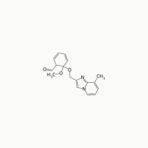 COC1(OCc2cn3cccc(C)c3n2)C=CC=CC1C=O